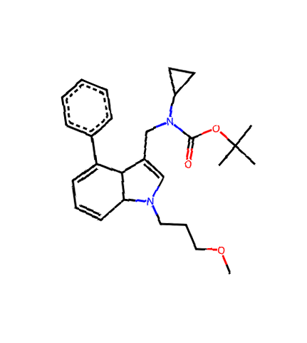 COCCCN1C=C(CN(C(=O)OC(C)(C)C)C2CC2)C2C(c3ccccc3)=CC=CC21